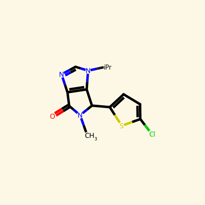 CC(C)n1cnc2c1C(c1ccc(Cl)s1)N(C)C2=O